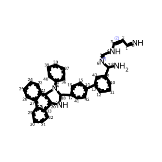 N=C/C=C\N/C=N\C(N)c1cccc(-c2ccc(C3Nc4c(c5ccccc5c5ccccc45)N3c3ccccc3)cc2)c1